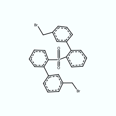 O=S(=O)(c1ccccc1-c1cccc(CBr)c1)c1ccccc1-c1cccc(CBr)c1